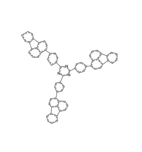 c1ccc2c(c1)-c1cccc3c(-c4ccc(-c5nc(-c6ccc(-c7ccc8c9c(cccc79)-c7ccccc7-8)cc6)nc(-c6ccc(-c7ccc8c9c(cccc79)-c7ccccc7-8)cc6)n5)cc4)ccc-2c13